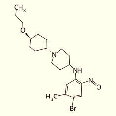 CCCO[C@H]1CC[C@H](N2CCC(Nc3cc(C)c(Br)cc3N=O)CC2)CC1